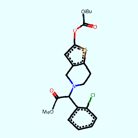 COC(=O)C(c1ccccc1Cl)N1CCc2sc(OC(=O)OCC(C)C)cc2C1